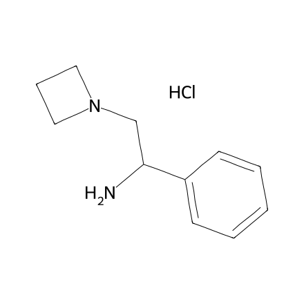 Cl.NC(CN1CCC1)c1ccccc1